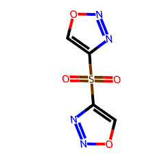 O=S(=O)(c1conn1)c1conn1